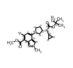 COC(=O)c1c(F)cc(N2CC[C@H](N(C(=O)OC(C)(C)C)C3CC3)C2)c2cn(C)nc12